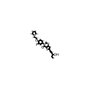 CCC(O)C#Cc1cc2ncn(-c3ccc(OCCN4CCCC4)c(F)c3)c(=O)c2s1